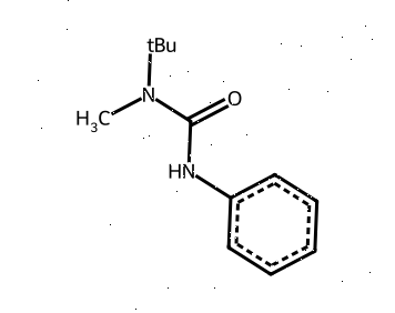 CN(C(=O)Nc1ccccc1)C(C)(C)C